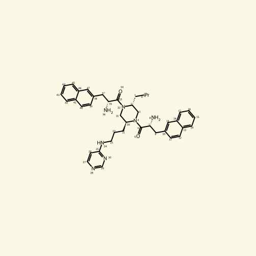 CC(C)C[C@@H]1CN(C(=O)[C@H](N)Cc2ccc3ccccc3c2)[C@@H](CCCNc2ccncn2)CN1C(=O)[C@H](N)Cc1ccc2ccccc2c1